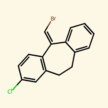 Clc1ccc2c(c1)CCc1ccccc1/C2=C\Br